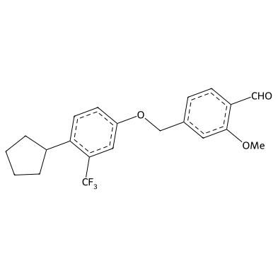 COc1cc(COc2ccc(C3CCCC3)c(C(F)(F)F)c2)ccc1C=O